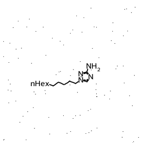 CCCCCCCCCCCn1cnc(N)n1